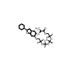 C=C(C)C(=O)OCC(F)(F)OC(F)(F)OC(F)(F)OC(F)(F)CSc1ccc2cc(-c3ccccc3)oc2c1